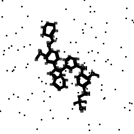 COc1cc(NCC(C)(C)O)ccc1Nc1nccc(-c2c(-c3ccc(OCc4ccccc4)c(OC)c3)nc3ccccn23)n1